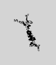 CNCCC(=O)OC(COC(=O)CCN(C)C)COc1ccc(C(C)(C)c2ccc(OCC(CCl)OC(=O)CCN(C)C)cc2)cc1